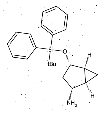 CC(C)(C)[Si](O[C@H]1C[C@@H](N)[C@@H]2C[C@@H]21)(c1ccccc1)c1ccccc1